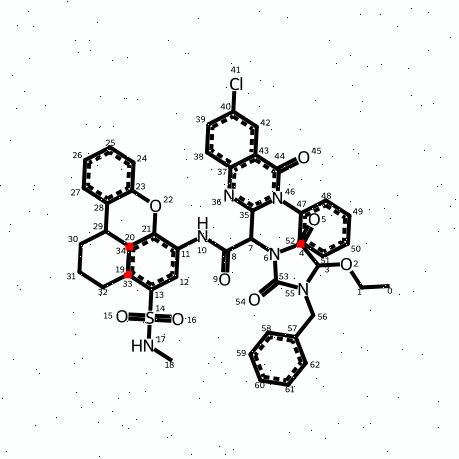 CCOC1C(=O)N(C(C(=O)Nc2cc(S(=O)(=O)NC)ccc2Oc2ccccc2C2CCCCC2)c2nc3ccc(Cl)cc3c(=O)n2-c2ccccc2)C(=O)N1Cc1ccccc1